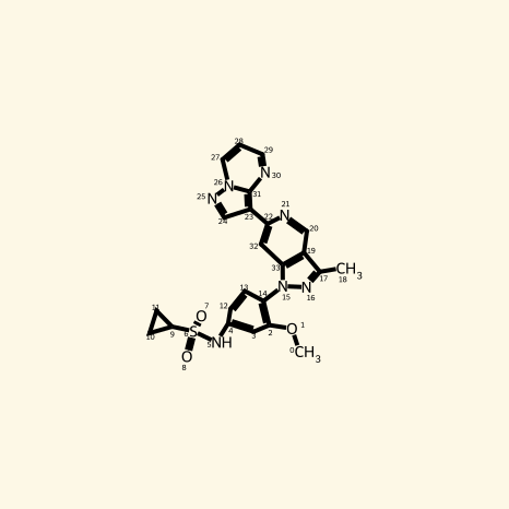 COc1cc(NS(=O)(=O)C2CC2)ccc1-n1nc(C)c2cnc(-c3cnn4cccnc34)cc21